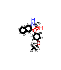 CB(O)Nc1cc2ccccc2cc1OC1CCC(O[Si](C)(C)C(C)(C)C)CC1